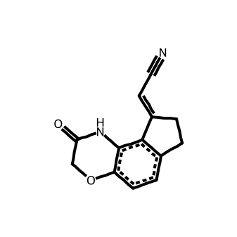 N#CC=C1CCc2ccc3c(c21)NC(=O)CO3